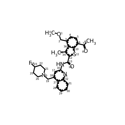 COCc1ccc(C(C)=O)c2sc(C(=O)Nc3cc(CN4CCC(F)CC4)c4ccccc4n3)c(C)c12